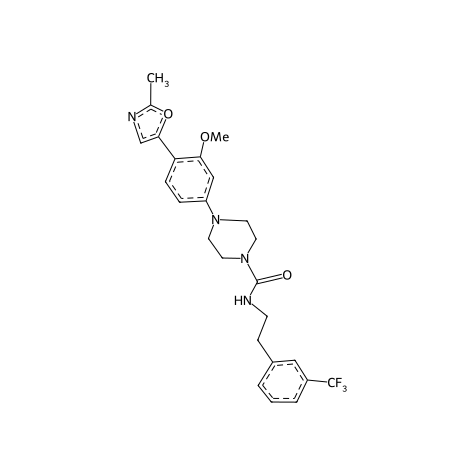 COc1cc(N2CCN(C(=O)NCCc3cccc(C(F)(F)F)c3)CC2)ccc1-c1cnc(C)o1